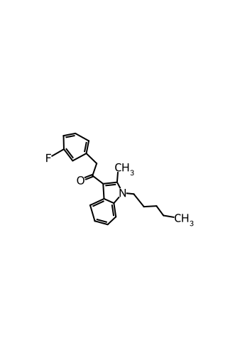 CCCCCn1c(C)c(C(=O)Cc2cccc(F)c2)c2ccccc21